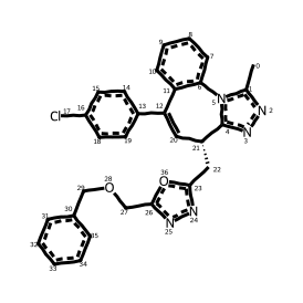 Cc1nnc2n1-c1ccccc1C(c1ccc(Cl)cc1)=C[C@H]2Cc1nnc(COCc2ccccc2)o1